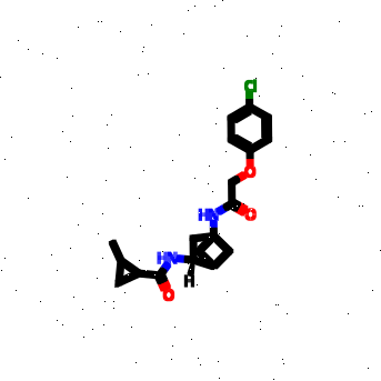 CC1CC1C(=O)N[C@@H]1CC2(NC(=O)COc3ccc(Cl)cc3)CC1C2